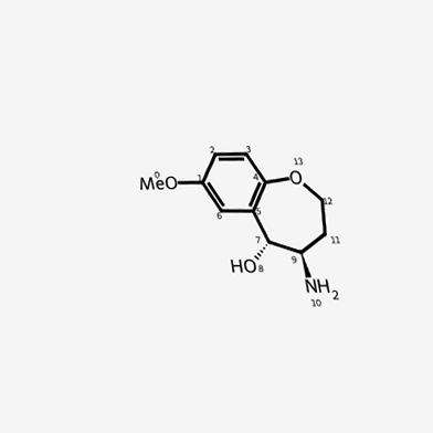 COc1ccc2c(c1)[C@@H](O)[C@H](N)CCO2